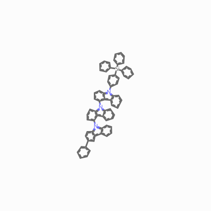 c1ccc(-c2ccc3c(c2)c2ccccc2n3-c2cccc3c2c2ccccc2n3-c2cccc3c2c2ccccc2n3-c2ccc([Si](c3ccccc3)(c3ccccc3)c3ccccc3)cc2)cc1